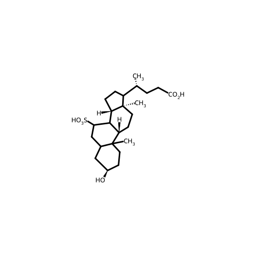 C[C@H](CCC(=O)O)C1CC[C@H]2C3C(S(=O)(=O)O)CC4C[C@H](O)CCC4(C)[C@H]3CC[C@]12C